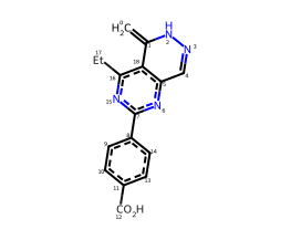 C=C1NN=Cc2nc(-c3ccc(C(=O)O)cc3)nc(CC)c21